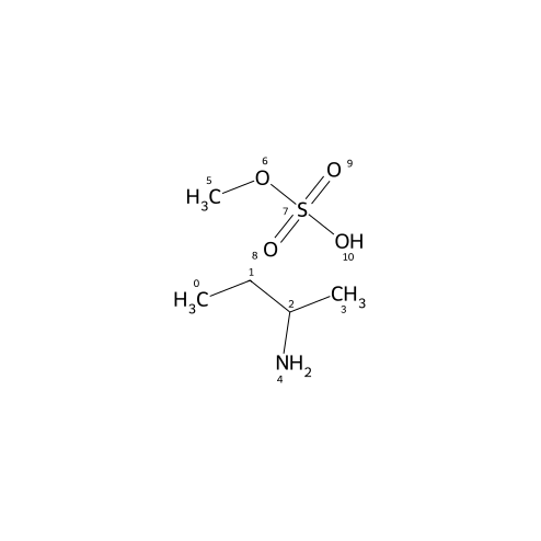 CCC(C)N.COS(=O)(=O)O